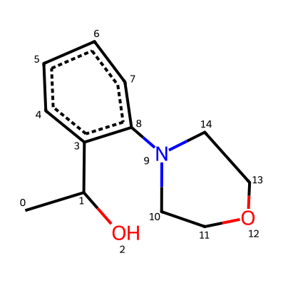 CC(O)c1ccccc1N1CCOCC1